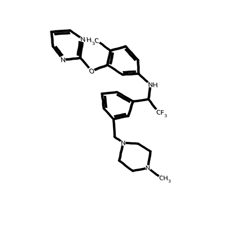 Cc1ccc(NC(c2cccc(CN3CCN(C)CC3)c2)C(F)(F)F)cc1Oc1ncccn1